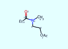 CCC(=O)N(C)CCOC(C)=O